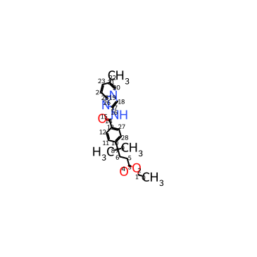 CCOC(=O)CCC(C)(C)c1ccc(C(=O)Nc2cn3cc(C)ccc3n2)cc1